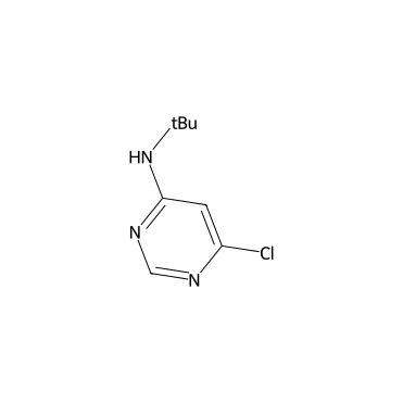 CC(C)(C)Nc1cc(Cl)ncn1